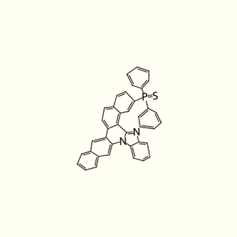 S=P(c1ccccc1)(c1ccccc1)c1ccc2ccc3c4cc5ccccc5cc4n4c5ccccc5nc4c3c2c1